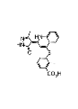 CC1=NNC(=O)C1=C1C=C(Sc2cccc(C(=O)O)c2C)c2ccccc2N1